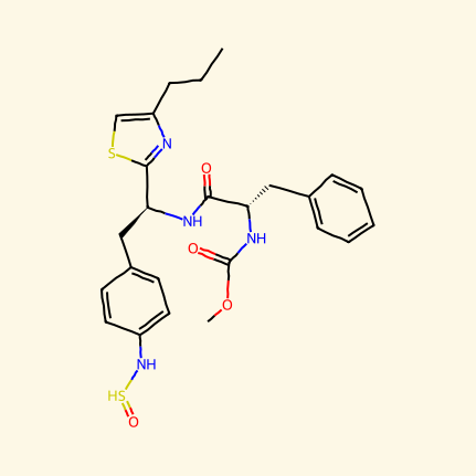 CCCc1csc([C@H](Cc2ccc(N[SH]=O)cc2)NC(=O)[C@H](Cc2ccccc2)NC(=O)OC)n1